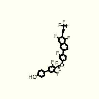 Oc1ccc(-c2cc(F)c(C(F)(F)Oc3ccc(-c4ccc5c(F)c(C#CC(F)(F)F)c(F)cc5c4)c(F)c3)c(F)c2)cc1